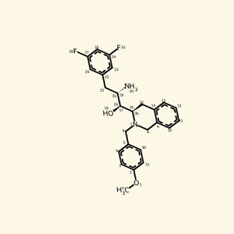 COc1ccc(CN2Cc3ccccc3C[C@@H]2[C@@H](O)[C@@H](N)Cc2cc(F)cc(F)c2)cc1